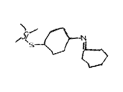 C[Si](C)(C)SC1CCC(N=C2CCCCC2)CC1